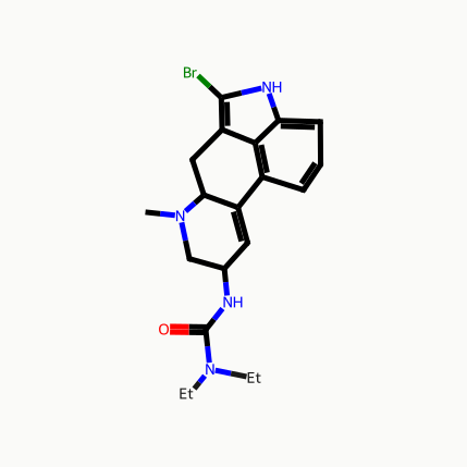 CCN(CC)C(=O)NC1C=C2c3cccc4[nH]c(Br)c(c34)CC2N(C)C1